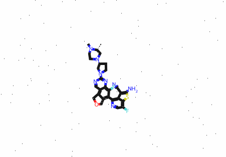 C[C@@H]1CN([C@@H]2CCN(c3ncc4c5c(c(-c6ncc(F)c7sc(N)c(C#N)c67)c(F)c4n3)COC5)C2)CCN1C